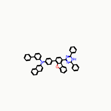 c1ccc(C2=NC(c3ccc(-c4ccc(N(c5cccc(-c6ccccc6)c5)c5ccc6ccccc6c5)cc4)c4oc5ccccc5c34)=NC(c3ccccc3)N2)cc1